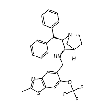 Cc1nc2cc(CN[C@@H]3[C@@H]4CC[N@](C4)[C@@H]3C(c3ccccc3)c3ccccc3)c(OC(F)(F)F)cc2s1